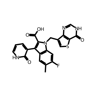 Cc1cc2c(-c3ccc[nH]c3=O)c(C(=O)O)n(Cc3csc4c(=O)[nH]cnc34)c2cc1F